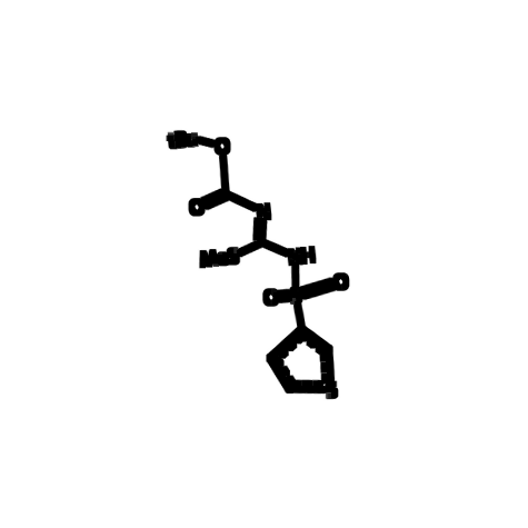 CS/C(=N\C(=O)OC(C)(C)C)NS(=O)(=O)c1ccsc1